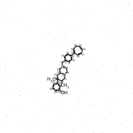 CC1CN2CCN(Cc3ccc(C4=CCC=CC=C4)cc3)CC2C[C@@]1(C)c1cccc(O)c1